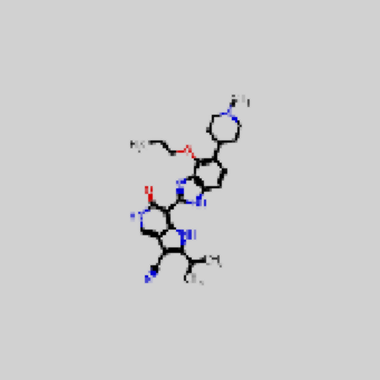 CCCOc1c(C2CCN(C)CC2)ccc2[nH]c(-c3c(=O)[nH]cc4c(C#N)c(C(C)C)[nH]c34)nc12